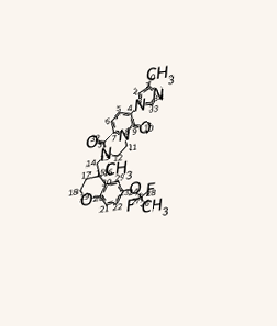 Cc1cn(-c2ccc3n(c2=O)CCN(C[C@]2(C)CCOc4ccc(OC(C)(F)F)cc42)C3=O)cn1